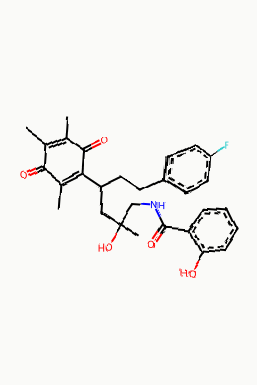 CC1=C(C)C(=O)C(C(CCc2ccc(F)cc2)CC(C)(O)CNC(=O)c2ccccc2O)=C(C)C1=O